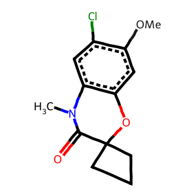 COc1cc2c(cc1Cl)N(C)C(=O)C1(CCC1)O2